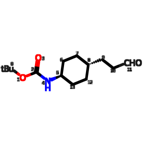 CC(C)(C)OC(=O)N[C@H]1CC[C@H](CCC=O)CC1